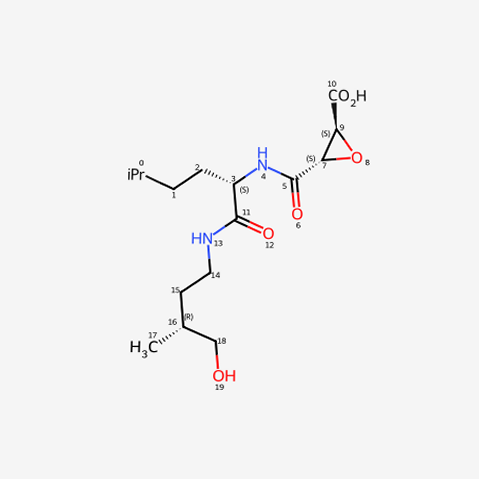 CC(C)CC[C@H](NC(=O)[C@H]1O[C@@H]1C(=O)O)C(=O)NCC[C@@H](C)CO